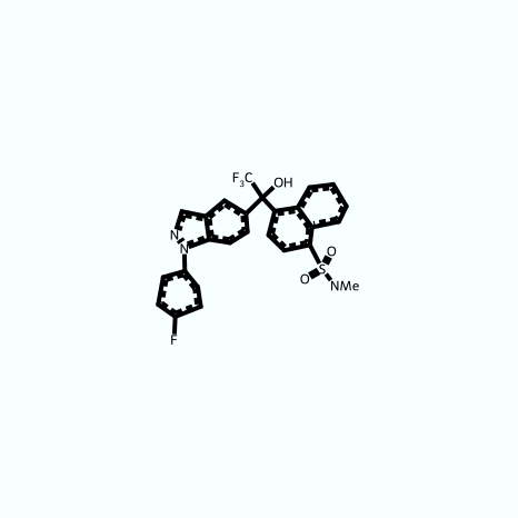 CNS(=O)(=O)c1ccc(C(O)(c2ccc3c(cnn3-c3ccc(F)cc3)c2)C(F)(F)F)c2ccccc12